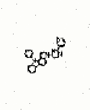 c1ccc(-n2c3ccccc3c3ccc4c(ccn4-c4ccnc(-c5cccnc5)n4)c32)cc1